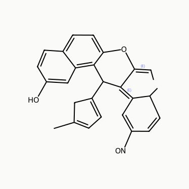 C/C=C1/Oc2ccc3ccc(O)cc3c2C(C2=CC=C(C)C2)/C1=C1\C=C(N=O)C=CC1C